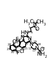 CN(C)C(=O)CCNc1nc(N2CCN(C(N)=O)CC2)c2cc(Cl)c(-c3c(O)cccc3F)c(F)c2n1